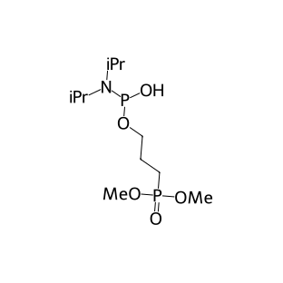 COP(=O)(CCCOP(O)N(C(C)C)C(C)C)OC